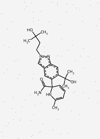 CC1=CC=CC(C(N)=O)(c2cc3cn(CCC(C)(C)O)nc3cc2C(C)(C)O)N1